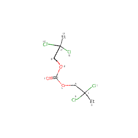 CCC(Cl)(Cl)COC(=O)OCC(Cl)(Cl)CC